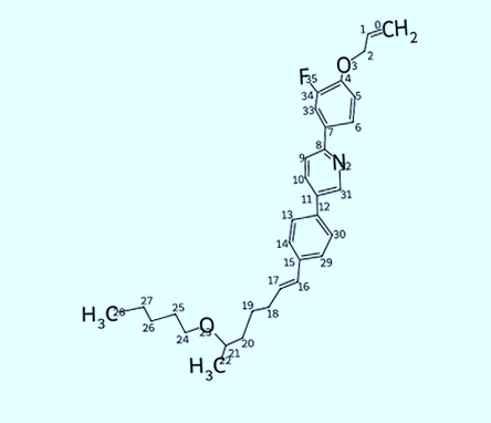 C=CCOc1ccc(-c2ccc(-c3ccc(C=CCCCC(C)OCCCCC)cc3)cn2)cc1F